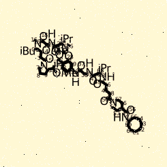 CCC(C)C(C(CC(=O)N1CCCC1C(OC)C(C)C)OC)N(C)C(=O)CNC(=O)C(C(C)C)N(C)C(=O)OCc1ccc(NC(=O)CNC(=O)C(NC(=O)CCCC(=O)N2CCC(C(=O)NC3CCCCCCC3)CC2)C(C)C)cc1